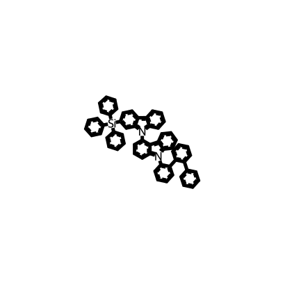 c1ccc(-c2ccccc2-c2ccccc2-n2c3ccccc3c3c(-n4c5ccccc5c5ccc([Si](c6ccccc6)(c6ccccc6)c6ccccc6)cc54)cccc32)cc1